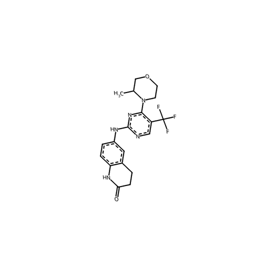 CC1COCCN1c1nc(Nc2ccc3c(c2)CCC(=O)N3)ncc1C(F)(F)F